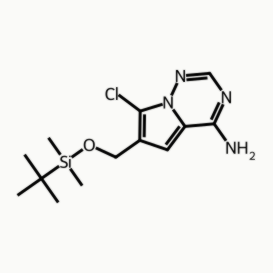 CC(C)(C)[Si](C)(C)OCc1cc2c(N)ncnn2c1Cl